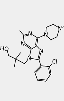 Cc1nc(N2CCN(C)CC2)c2nc(-c3ccccc3Cl)n(CC(C)(C)CO)c2n1